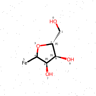 OC[C@H]1O[CH]([Fe])[C@H](O)[C@@H]1O